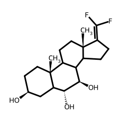 C[C@]12CC[C@H](O)CC1[C@@H](O)[C@H](O)C1C2CC[C@]2(C)C(=C(F)F)CCC12